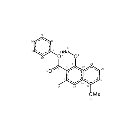 CCCCOc1c(C(=O)Oc2ccccc2)c(C)cc2c(OC)cccc12